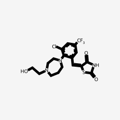 O=C1NC(=O)C(=Cc2cc(C(F)(F)F)cc(Cl)c2N2CCCN(CCO)CC2)S1